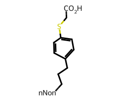 CCCCCCCCCCCCc1ccc(SCC(=O)O)cc1